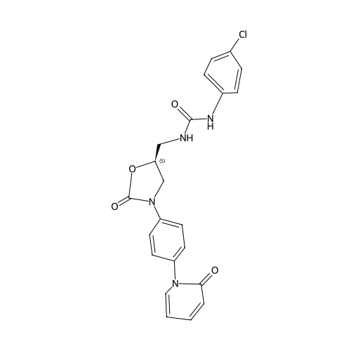 O=C(NC[C@H]1CN(c2ccc(-n3ccccc3=O)cc2)C(=O)O1)Nc1ccc(Cl)cc1